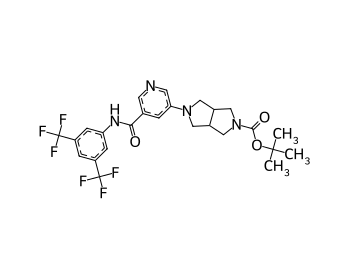 CC(C)(C)OC(=O)N1CC2CN(c3cncc(C(=O)Nc4cc(C(F)(F)F)cc(C(F)(F)F)c4)c3)CC2C1